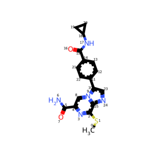 CSc1nc(C(N)=O)cn2c(-c3ccc(C(=O)NC4CC4)cc3)cnc12